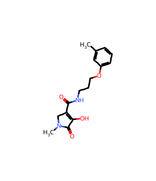 Cc1cccc(OCCCNC(=O)C2=C(O)C(=O)N(C)C2)c1